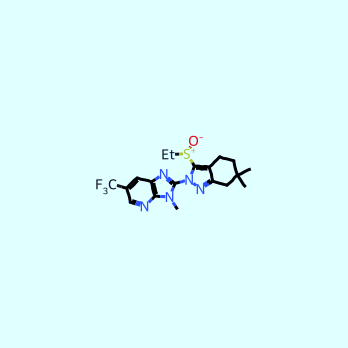 CC[S+]([O-])c1c2c(nn1-c1nc3cc(C(F)(F)F)cnc3n1C)CC(C)(C)CC2